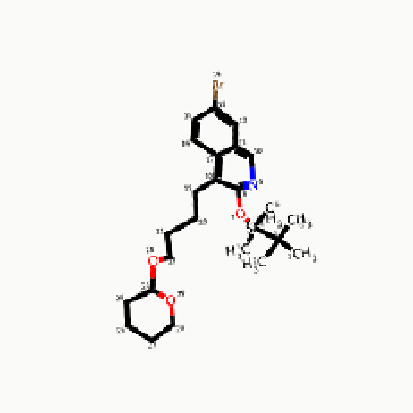 CC(C)(C)[Si](C)(C)Oc1ncc2cc(Br)ccc2c1CCCCOC1CCCCO1